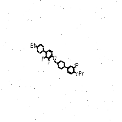 CCCc1ccc(C2CCC(COc3ccc(C4CCC(CC)CC4)c(F)c3F)CC2)cc1F